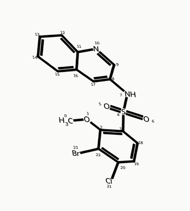 COc1c(S(=O)(=O)Nc2cnc3ccccc3c2)ccc(Cl)c1Br